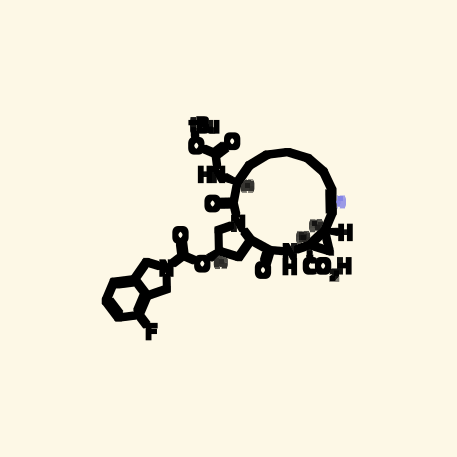 CC(C)(C)OC(=O)N[C@H]1CCCCC/C=C\[C@@H]2C[C@@]2(C(=O)O)NC(=O)C2C[C@@H](OC(=O)N3Cc4cccc(F)c4C3)CN2C1=O